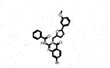 COc1cccc(C2CCC(Cn3c(NC(=O)c4ccccc4)nc4cc(Br)ccc4c3=O)O2)c1